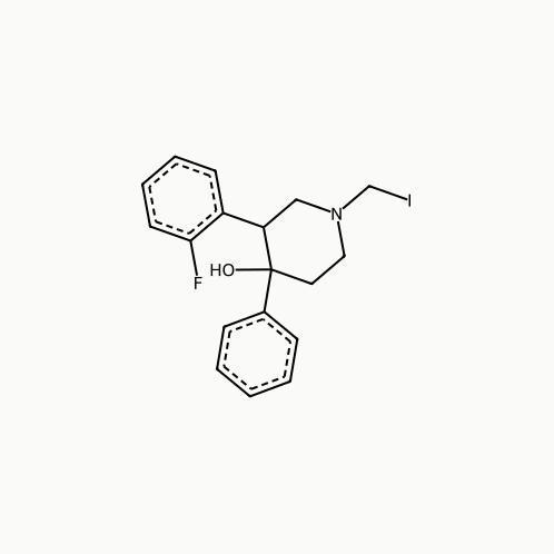 OC1(c2ccccc2)CCN(CI)CC1c1ccccc1F